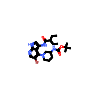 CCC(CC)C(=O)Nc1c[nH]c2ncc(Br)c(N3CCCC(NC(=O)OC(C)(C)C)C3)c12